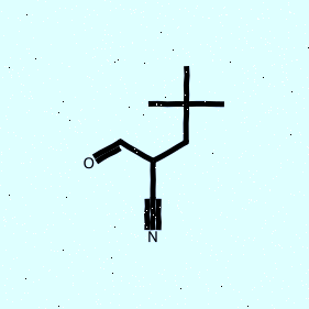 CC(C)(C)CC(C#N)C=O